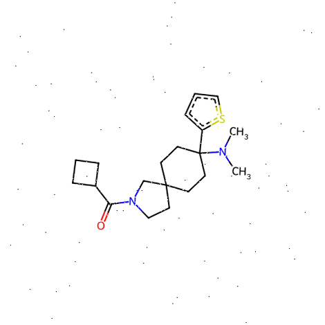 CN(C)C1(c2cccs2)CCC2(CCN(C(=O)C3CCC3)C2)CC1